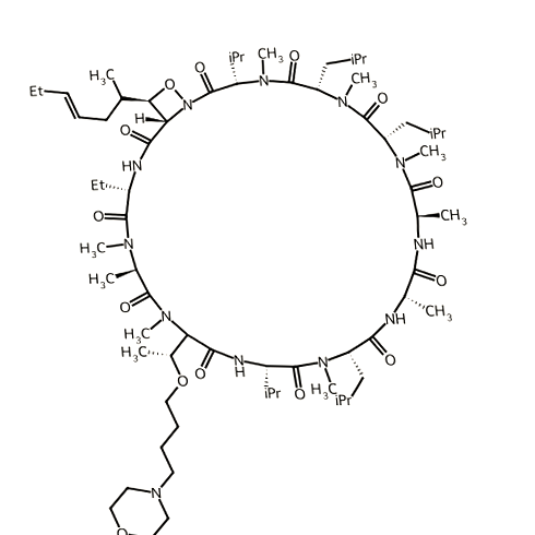 CC/C=C/CC(C)[C@H]1ON2C(=O)[C@H](C(C)C)N(C)C(=O)[C@H](CC(C)C)N(C)C(=O)[C@H](CC(C)C)N(C)C(=O)[C@@H](C)NC(=O)[C@H](C)NC(=O)[C@H](CC(C)C)N(C)C(=O)[C@H](C(C)C)NC(=O)C([C@@H](C)OCCCCN3CCOCC3)N(C)C(=O)[C@@H](C)N(C)C(=O)[C@H](CC)NC(=O)[C@H]12